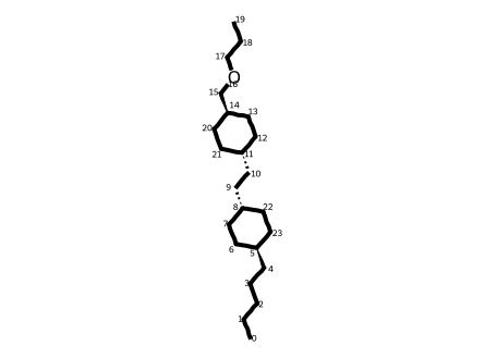 CCCCC[C@H]1CC[C@H](CC[C@H]2CC[C@H](COCCC)CC2)CC1